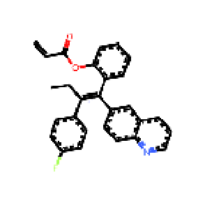 C=CC(=O)Oc1ccccc1/C(=C(\CC)c1ccc(F)cc1)c1ccc2ncccc2c1